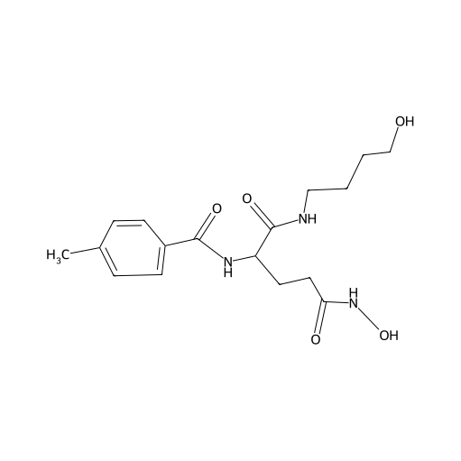 Cc1ccc(C(=O)NC(CCC(=O)NO)C(=O)NCCCCO)cc1